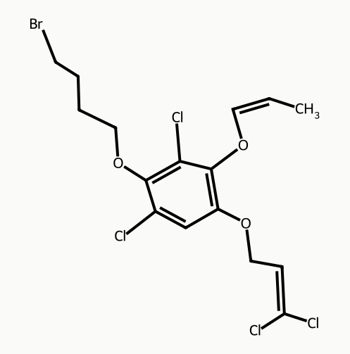 C/C=C\Oc1c(OCC=C(Cl)Cl)cc(Cl)c(OCCCCBr)c1Cl